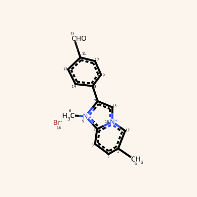 Cc1ccc2n(C)c(-c3ccc(C=O)cc3)c[n+]2c1.[Br-]